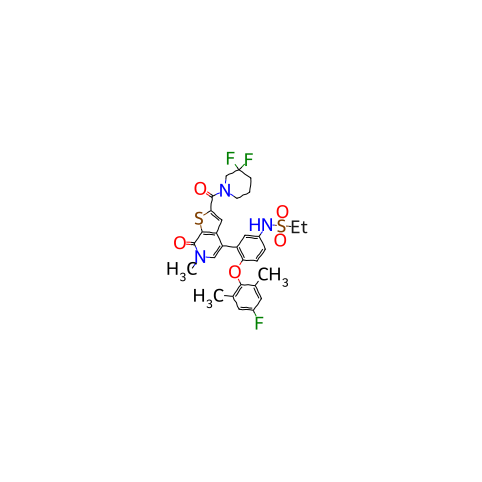 CCS(=O)(=O)Nc1ccc(Oc2c(C)cc(F)cc2C)c(-c2cn(C)c(=O)c3sc(C(=O)N4CCCC(F)(F)C4)cc23)c1